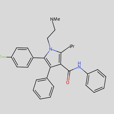 CNCCn1c(-c2ccc(F)cc2)c(-c2ccccc2)c(C(=O)Nc2ccccc2)c1C(C)C